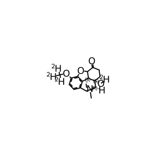 [2H]O[C@@]12CCC(=O)C3Oc4c(OC([2H])([2H])[2H])ccc5c4[C@@]31CCN(C)[C@@H]2C5